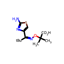 CC(C)(O/N=C(\c1csc(N)n1)C(C)(C)C)C(=O)O